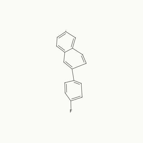 Fc1ccc(-c2ccc3c[c]ccc3c2)cc1